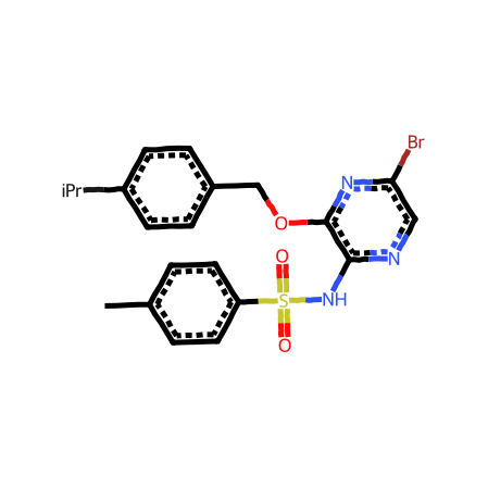 Cc1ccc(S(=O)(=O)Nc2ncc(Br)nc2OCc2ccc(C(C)C)cc2)cc1